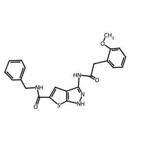 COc1ccccc1CC(=O)Nc1n[nH]c2sc(C(=O)NCc3ccccc3)cc12